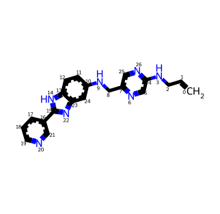 C=CCNc1cnc(CNc2ccc3[nH]c(-c4cccnc4)nc3c2)cn1